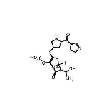 CC(O)C1C(=O)N2C(OC(=O)O)=C(SC3CNC(C(=O)C4C=NCC4)C3)C[C@H]12